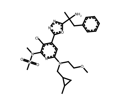 COCCN(CC1CC1C)c1cc(-c2nnc(C(C)(N)Cc3ccccc3)o2)c(Cl)c(N(C)S(C)(=O)=O)n1